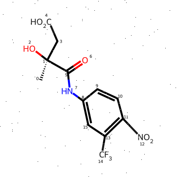 C[C@](O)(CC(=O)O)C(=O)Nc1ccc([N+](=O)[O-])c(C(F)(F)F)c1